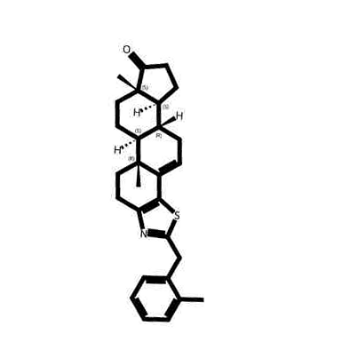 Cc1ccccc1Cc1nc2c(s1)C1=CC[C@@H]3[C@H](CC[C@]4(C)C(=O)CC[C@@H]34)[C@@]1(C)CC2